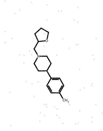 Cc1ccc(C2CCN(CC3CCCO3)CC2)cc1